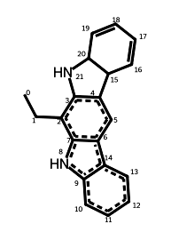 CCc1c2c(cc3c1[nH]c1ccccc13)C1C=CC=CC1N2